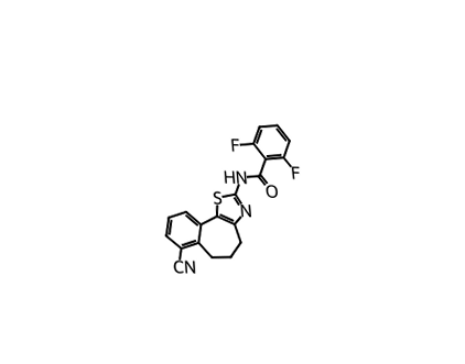 N#Cc1cccc2c1CCCc1nc(NC(=O)c3c(F)cccc3F)sc1-2